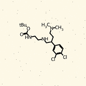 CN(C)CCC(CNCCNC(=O)OC(C)(C)C)c1ccc(Cl)c(Cl)c1